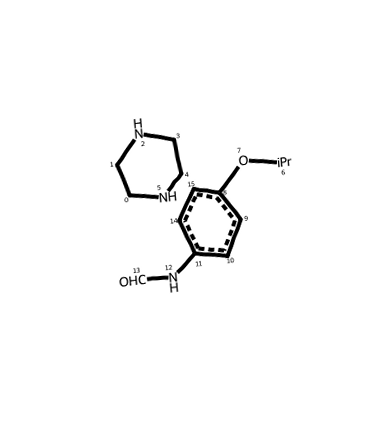 C1CNCCN1.CC(C)Oc1ccc(NC=O)cc1